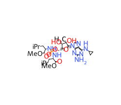 COC(=O)C(CC(C)C)NP(=O)(NC(CC(C)C)C(=O)OC)OC[C@H]1O[C@@H](n2cnc3c(NC4CC4)nc(N)nc32)C(C)(O)C1O